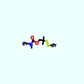 CC(C)SSC(C)(C)COC(=O)N(C)C(C)C